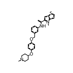 C=C(Nc1cccc(COc2ccc(OC3CCN(C)CC3)cc2)c1)c1cc2sccc2n1C